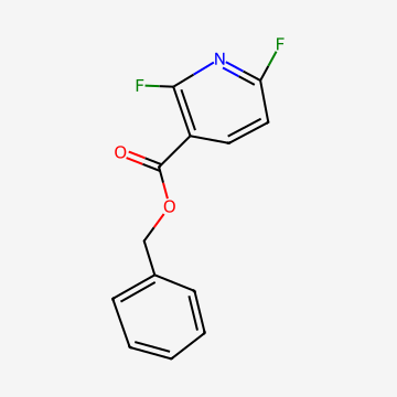 O=C(OCc1ccccc1)c1ccc(F)nc1F